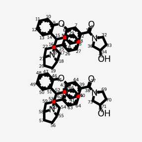 O=C(c1ccc2c(c1)Oc1ccccc1C2C1CC2CCC(C1)N2Cc1ccccc1)N1CCC(O)C1.O=C(c1ccc2c(c1)Oc1ccccc1C2C1CC2CCC(C1)N2Cc1ccccn1)N1CCC(O)C1